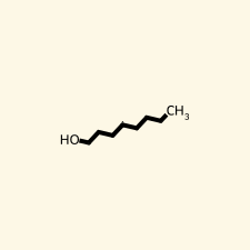 CCCC[CH]CCCO